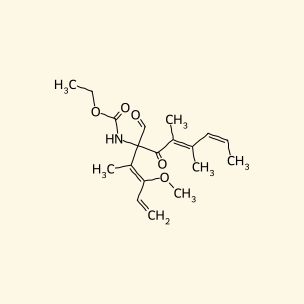 C=C/C(OC)=C(\C)C(C=O)(NC(=O)OCC)C(=O)/C(C)=C(C)/C=C\C